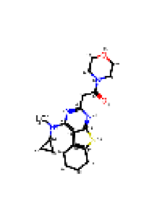 CN(c1nc(CC(=O)N2CCOCC2)nc2sc3c(c12)CCCC3)C1CC1